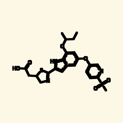 CCC(C)Oc1cc(Oc2ccc(S(C)(=O)=O)nc2)cc2cc(C3=NCC(CC(=O)O)S3)[nH]c12